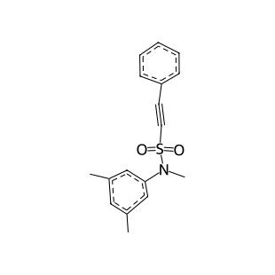 Cc1cc(C)cc(N(C)S(=O)(=O)C#Cc2ccccc2)c1